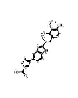 COc1c(C)cnc(C[S+]([O-])c2nc3cc(-c4cc(C(=O)O)on4)ccc3[nH]2)c1C